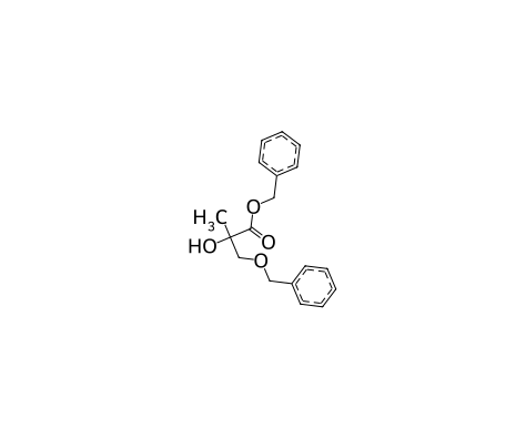 CC(O)(COCc1ccccc1)C(=O)OCc1ccccc1